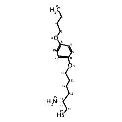 CCCCOc1ccc(OCCCC[C@@H](N)CS)cc1